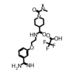 CN(C)C(=O)N1CCC(C(=O)NCCOc2cccc(C(=N)N)c2)CC1.O=C(O)C(F)(F)F